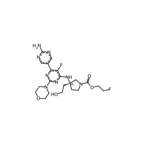 Nc1ncc(-c2nc(N3CCOCC3)nc(N[C@@]3(CCO)CCN(C(=O)OCCF)C3)c2F)cn1